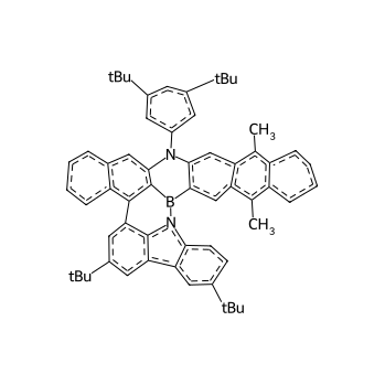 Cc1c2ccccc2c(C)c2cc3c(cc12)B1c2c(cc4ccccc4c2-c2cc(C(C)(C)C)cc4c5cc(C(C)(C)C)ccc5n1c24)N3c1cc(C(C)(C)C)cc(C(C)(C)C)c1